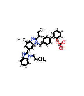 CCCc1nc2c(C)cc(-c3nc4ccccc4n3CCC)cc2n1Cc1ccc(-c2ccccc2OC(=O)O)cc1